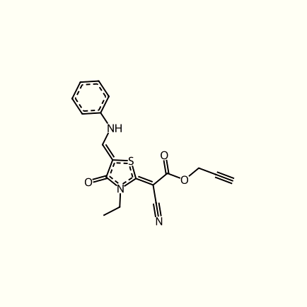 C#CCOC(=O)C(C#N)=c1sc(=CNc2ccccc2)c(=O)n1CC